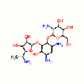 C[C@@H](N)C1OC(OC2C(O)C(N)CC(N)C2OC2OC(CO)C(O)C(O)C2N)C(O)C1O